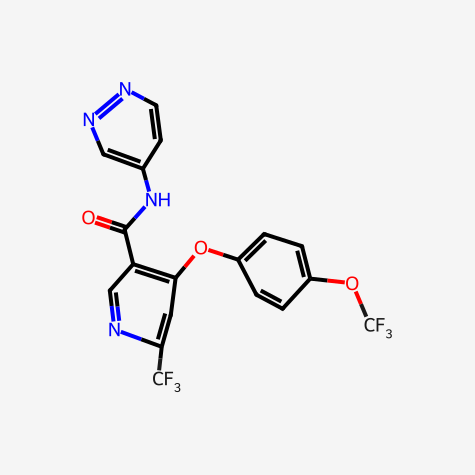 O=C(Nc1ccnnc1)c1cnc(C(F)(F)F)cc1Oc1ccc(OC(F)(F)F)cc1